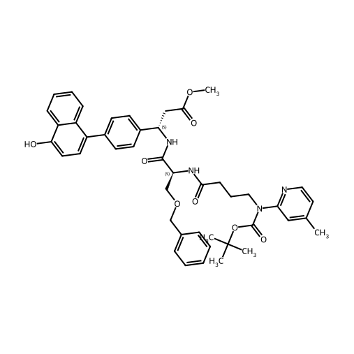 COC(=O)C[C@H](NC(=O)[C@H](COCc1ccccc1)NC(=O)CCCN(C(=O)OC(C)(C)C)c1cc(C)ccn1)c1ccc(-c2ccc(O)c3ccccc23)cc1